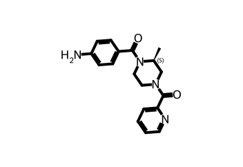 C[C@H]1CN(C(=O)c2ccccn2)CCN1C(=O)c1ccc(N)cc1